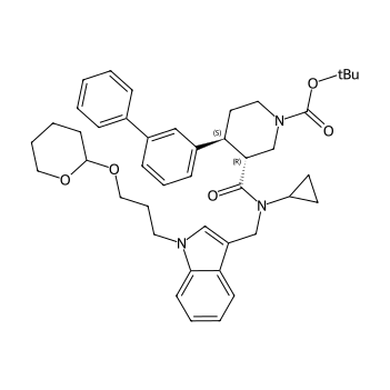 CC(C)(C)OC(=O)N1CC[C@H](c2cccc(-c3ccccc3)c2)[C@@H](C(=O)N(Cc2cn(CCCOC3CCCCO3)c3ccccc23)C2CC2)C1